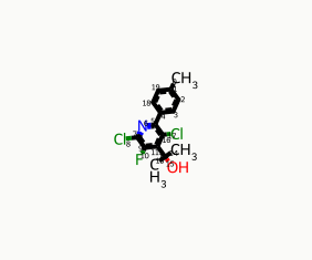 Cc1ccc(-c2nc(Cl)c(F)c(C(C)(C)O)c2Cl)cc1